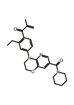 C=C(C)C(=O)c1ccc(N2CCOc3cc(C(=O)N4CCCCC4)cnc32)cc1CC